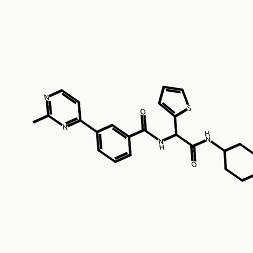 Cc1nccc(-c2cccc(C(=O)NC(C(=O)NC3CCCCC3)c3cccs3)c2)n1